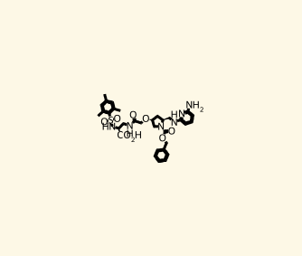 Cc1cc(C)c(S(=O)(=O)N[C@@H](CNC(=O)CO[C@@H]2C[C@@H](CNc3cccc(N)n3)N(C(=O)OCc3ccccc3)C2)C(=O)O)c(C)c1